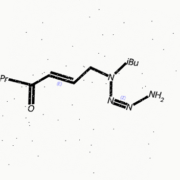 CCC(C)N(C/C=C/C(=O)C(C)C)/N=N\N